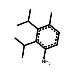 Cc1ccc(N)c(C(C)C)c1C(C)C